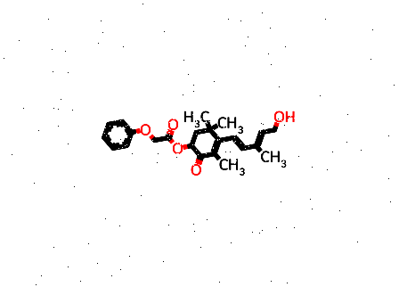 CC(C=CC1=C(C)C(=O)C(OC(=O)COc2ccccc2)CC1(C)C)=CCO